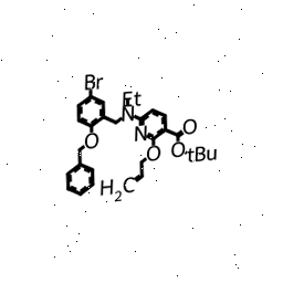 C=CCOc1nc(N(CC)Cc2cc(Br)ccc2OCc2ccccc2)ccc1C(=O)OC(C)(C)C